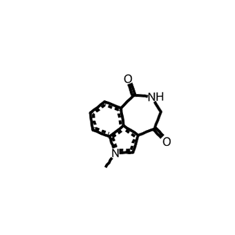 Cn1cc2c3c(cccc31)C(=O)NCC2=O